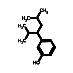 CC(C)CC(c1cccc(O)c1)C(C)C